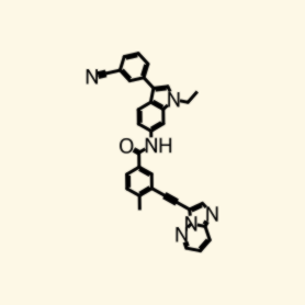 CCn1cc(-c2cccc(C#N)c2)c2ccc(NC(=O)c3ccc(C)c(C#Cc4cnc5cccnn45)c3)cc21